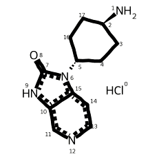 Cl.N[C@H]1CC[C@H](n2c(=O)[nH]c3cnccc32)CC1